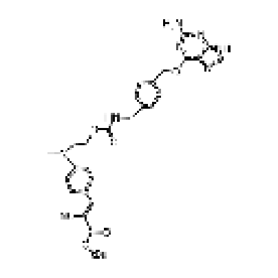 CN(CCOC(=O)NCc1ccc(COc2nc(N)nc3[nH]cnc23)cc1)c1ccc(/C=C(\C#N)C(=O)OC(C)(C)C)cc1